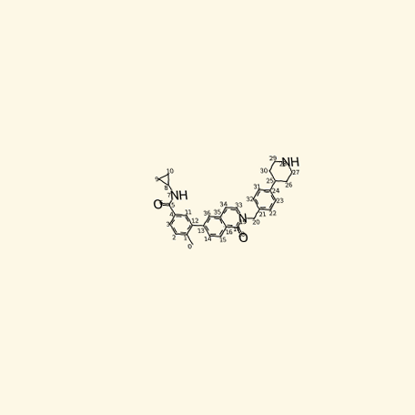 Cc1ccc(C(=O)NC2CC2)cc1-c1ccc2c(=O)n(Cc3ccc(C4CCNCC4)cc3)ccc2c1